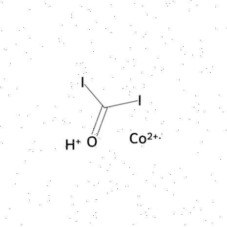 O=C(I)I.[Co+2].[H+]